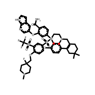 CN1CCC(F)(COc2ccc(S(=O)(=O)[N+]3(c4ccc(C(N)=O)c(Oc5cnc6[nH]ccc6c5)c4)CCN(CC4=C(c5ccc(Cl)cc5)CC(C)(C)CC4)CC3)cc2S(=O)(=O)C(F)(F)F)CC1